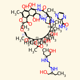 CC[C@@H](CO)NCCN[C@@H](CC)CO.CO[C@H]1/C=C/O[C@@]2(C)Oc3c(C)c(O)c4c(O)c(c(/C=N/N5CCN(C)CC5)c(O)c4c3C2=O)NC(=O)/C(C)=C\C=C\[C@H](C)[C@H](O)[C@@H](C)[C@@H](O)[C@@H](C)[C@H](OC(C)=O)[C@@H]1C.NC(=O)c1cnccn1